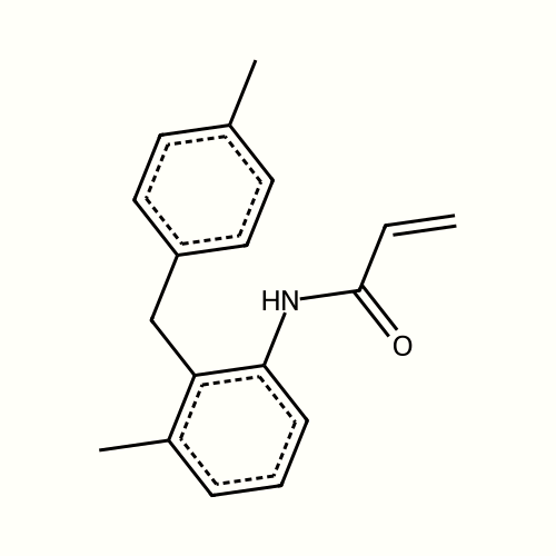 C=CC(=O)Nc1cccc(C)c1Cc1ccc(C)cc1